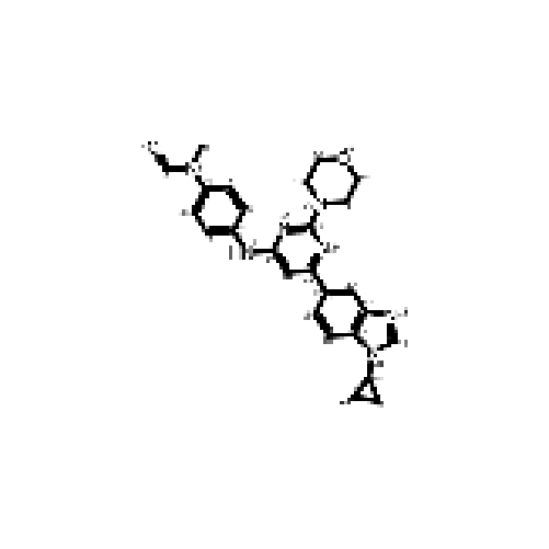 CN(C=O)c1ccc(Nc2cc(-c3ccc4c(c3)ncn4C3CC3)nc(N3CCOCC3)n2)cc1